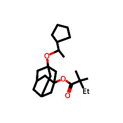 CCC(C)(C)C(=O)OC12CC3CC(C1)CC(OC(C)C1CCCC1)(C3)C2